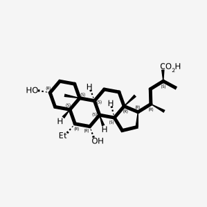 CC[C@H]1[C@@H](O)[C@@H]2[C@H](CC[C@]3(C)[C@@H]([C@H](C)C[C@H](C)C(=O)O)CC[C@@H]23)[C@@]2(C)CC[C@@H](O)C[C@@H]12